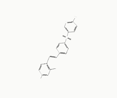 Nc1ccc(S(=O)(=O)c2ccc(C=Cc3ccc(F)cc3F)cc2)cn1